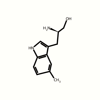 Cc1ccc2[nH]cc(C[C@@H](N)CO)c2c1